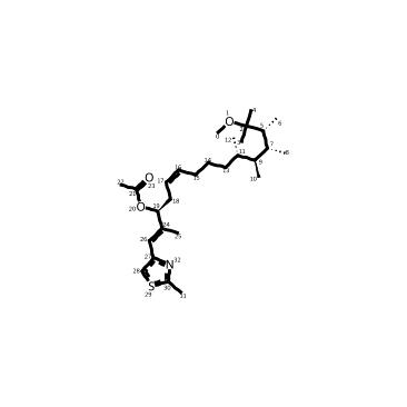 COC(C)(C)[C@H](C)[C@H](C)[C@@H](C)[C@@H](C)CCC/C=C\C[C@H](OC(C)=O)/C(C)=C/c1csc(C)n1